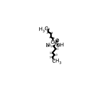 CCCCCCOP(=O)(O)CCCCCC.[Ni]